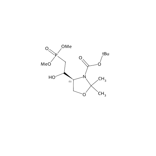 COP(=O)(CC(O)[C@@H]1COC(C)(C)N1C(=O)OC(C)(C)C)OC